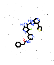 O=C(Cc1ccccc1)Nc1cncc(-c2ncc3[nH]nc(-c4nc5c(-c6ccsc6)cncc5[nH]4)c3c2F)c1